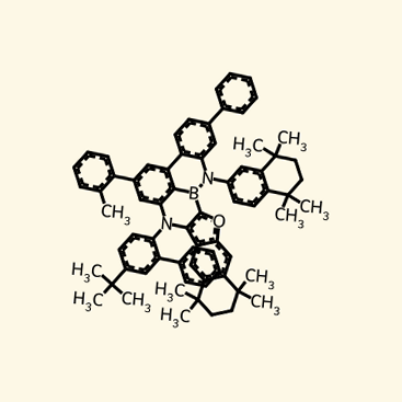 Cc1ccccc1-c1cc2c3c(c1)N(c1ccc(C(C)(C)C)cc1-c1ccccc1)c1c(oc4cc5c(cc14)C(C)(C)CCC5(C)C)B3N(c1ccc3c(c1)C(C)(C)CCC3(C)C)c1cc(-c3ccccc3)ccc1-2